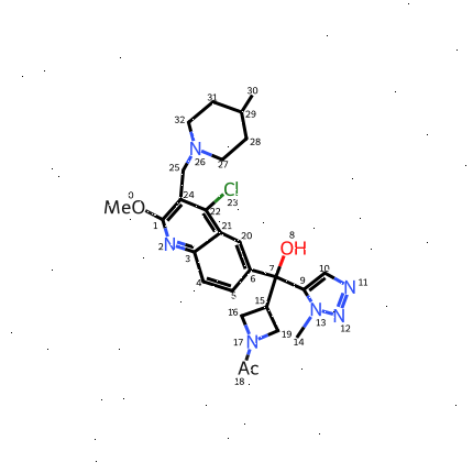 COc1nc2ccc(C(O)(c3cnnn3C)C3CN(C(C)=O)C3)cc2c(Cl)c1CN1CCC(C)CC1